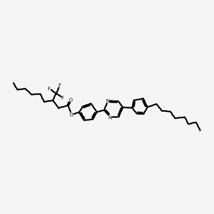 CCCCCCCCc1ccc(-c2cnc(-c3ccc(OC(=O)CC(CCCCCC)C(F)(F)F)cc3)nc2)cc1